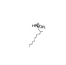 CCCCCCCCCC(C)C[PH](=N)O